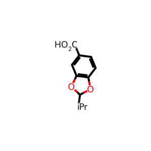 CC(C)C1Oc2ccc(C(=O)O)cc2O1